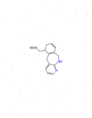 CNCC1CC=CC2=C1Cc1cccnc1NC2